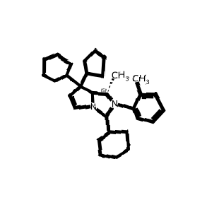 Cc1ccccc1N1C(C2CCCCC2)N2C=CC(C3CCCCC3)(C3CCCC3)C2[C@@H]1C